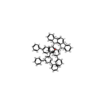 c1ccc(-c2ccc(-c3nc(-c4ccccc4)nc(-n4c5ccccc5c5ccc6c7ccccc7n(-c7ccc(-c8nc(-c9ccccc9)nc(-c9ccccc9)n8)cc7)c6c54)n3)cc2)cc1